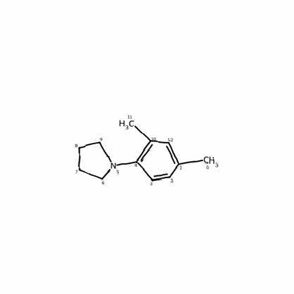 Cc1ccc(N2CCCC2)c(C)c1